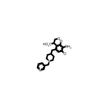 Nc1c(Cl)cc(CC2CCN(Cc3cccnc3)CC2)c2c1OOCC2C(=O)O